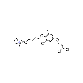 C/C(CC(C)C)=N\OCCCCOc1c(C)cc(OCC=C(Cl)Cl)cc1Cl